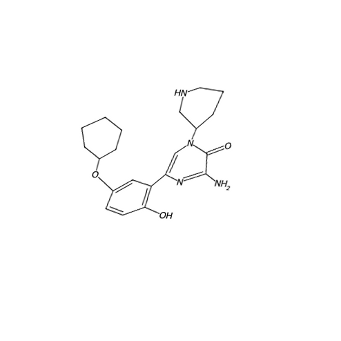 Nc1nc(-c2cc(OC3CCCCC3)ccc2O)cn(C2CCCNC2)c1=O